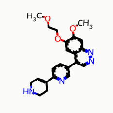 COCCOc1cc2c(-c3ccc(C4=CCNCC4)nc3)cnnc2cc1OC